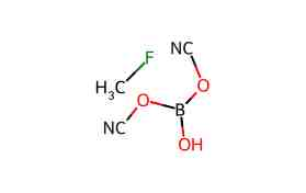 CF.N#COB(O)OC#N